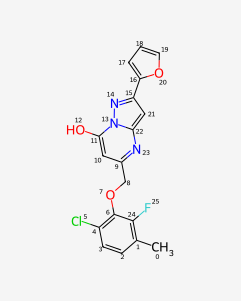 Cc1ccc(Cl)c(OCc2cc(O)n3nc(-c4ccco4)cc3n2)c1F